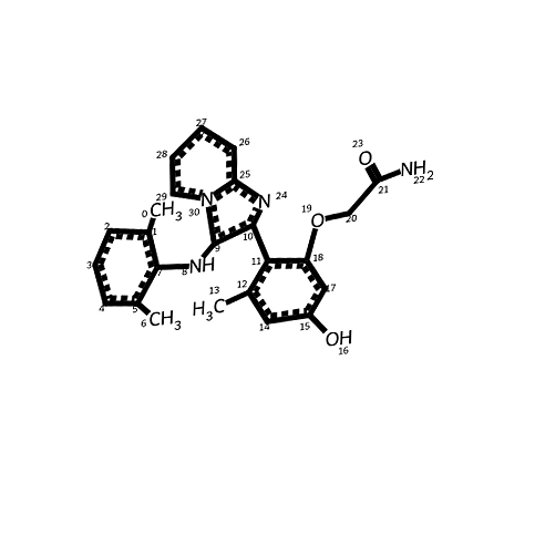 Cc1cccc(C)c1Nc1c(-c2c(C)cc(O)cc2OCC(N)=O)nc2ccccn12